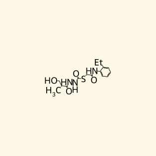 CCc1ccccc1NC(=O)CSC(=O)NNC(=O)[C@H](C)CO